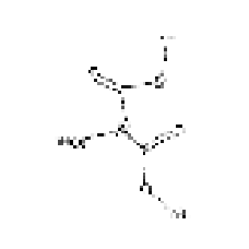 CCCCCCN(C(=O)OCCCC)C(=S)OCC